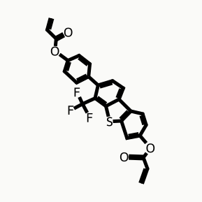 C=CC(=O)Oc1ccc(-c2ccc3c(sc4cc(OC(=O)C=C)ccc43)c2C(F)(F)F)cc1